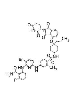 C=CCC1(Oc2cccc3c2C(=O)N(C2CCC(=O)NC2=O)C3=O)CCC(NS(=O)(=O)c2ccc(Nc3ncc(Br)c(Nc4cccc(F)c4C(N)=O)n3)cc2C)CC1